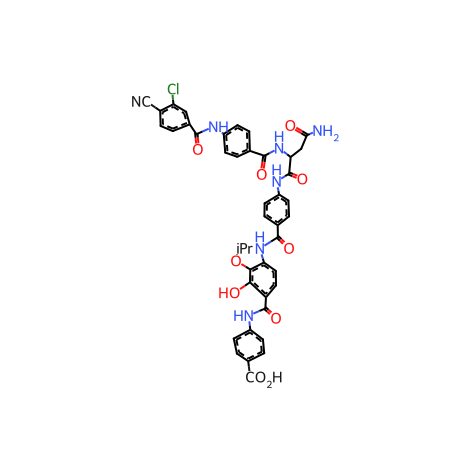 CC(C)Oc1c(NC(=O)c2ccc(NC(=O)C(CC(N)=O)NC(=O)c3ccc(NC(=O)c4ccc(C#N)c(Cl)c4)cc3)cc2)ccc(C(=O)Nc2ccc(C(=O)O)cc2)c1O